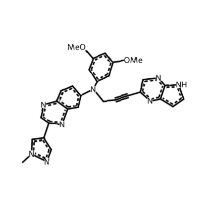 COc1cc(OC)cc(N(CC#Cc2cnc3[nH]ccc3n2)c2ccc3ncc(-c4cnn(C)c4)nc3c2)c1